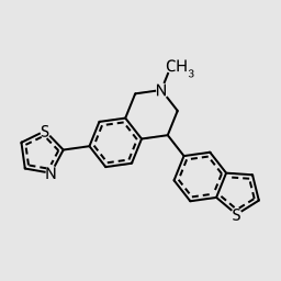 CN1Cc2cc(-c3nccs3)ccc2C(c2ccc3sccc3c2)C1